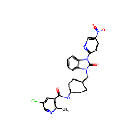 Cc1ncc(Cl)cc1C(=O)NC1CCC(Cn2c(=O)n(-c3ccc([N+](=O)[O-])cn3)c3ccccc32)CC1